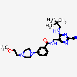 COCCN1CCN(c2cccc(C(=O)NCc3cnc(C#N)nc3NCC(C)(C)C)c2)CC1